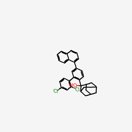 OC1(c2ccc(-c3cccc4ccccc34)cc2-c2ccc(Cl)cc2Cl)C2CC3CC(C2)CC1C3